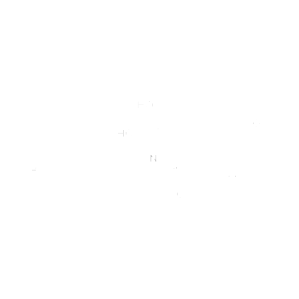 O=C1c2c(ccc3c2OCCO3)S(O)(O)N1CCCCBr